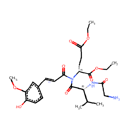 CCOC(=O)CC[C@H](C(=O)OCC)N(C(=O)/C=C/c1ccc(O)c(OC)c1)C(=O)[C@H](NC(=O)CN)C(C)C